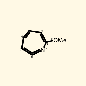 COC1=CC=CC=C=N1